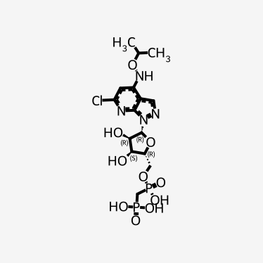 CC(C)ONc1cc(Cl)nc2c1cnn2[C@@H]1O[C@H](COP(=O)(O)CP(=O)(O)O)[C@@H](O)[C@H]1O